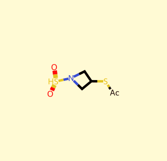 CC(=O)SC1CN([SH](=O)=O)C1